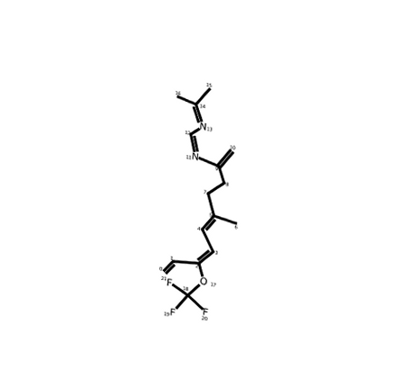 C=C/C(=C\C=C(/C)CCC(=C)/N=C\N=C(C)C)OC(F)(F)F